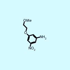 COCCOc1cc(N)cc([N+](=O)[O-])c1